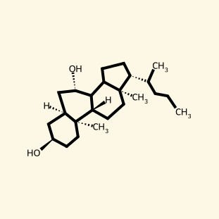 CCCC(C)[C@H]1CCC2C3[C@@H](O)C[C@@H]4C[C@H](O)CC[C@]4(C)[C@H]3CC[C@@]21C